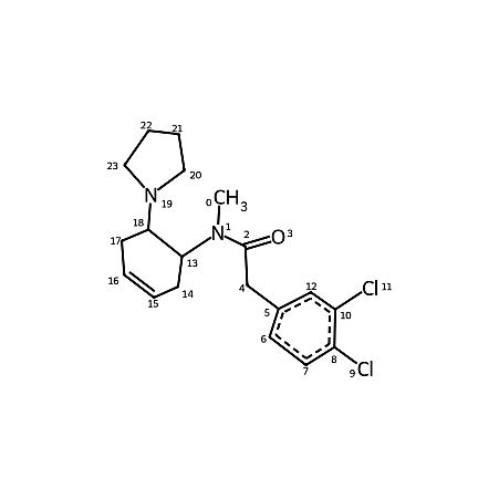 CN(C(=O)Cc1ccc(Cl)c(Cl)c1)C1CC=CCC1N1CCCC1